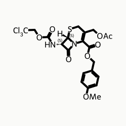 COc1ccc(COC(=O)C2=C(COC(C)=O)CS[C@H]3[C@@H](NC(=O)OCC(Cl)(Cl)Cl)C(=O)N23)cc1